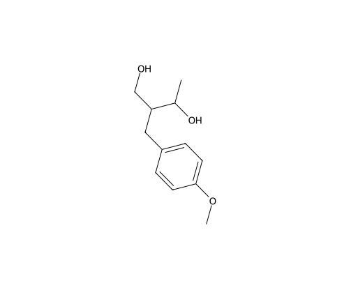 COc1ccc(CC(CO)C(C)O)cc1